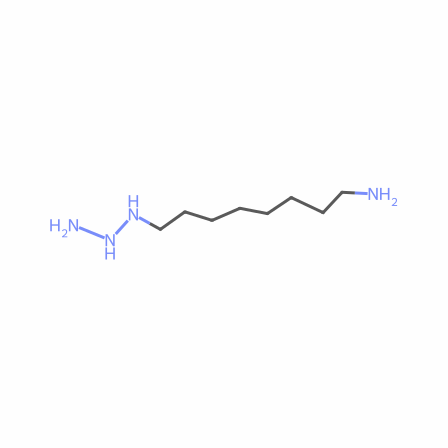 NCCCCCCCCNNN